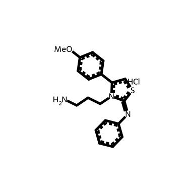 COc1ccc(-c2csc(=Nc3ccccc3)n2CCCN)cc1.Cl